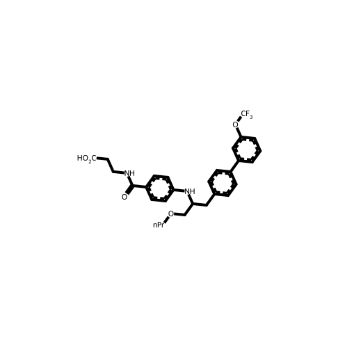 CCCOCC(Cc1ccc(-c2cccc(OC(F)(F)F)c2)cc1)Nc1ccc(C(=O)NCCC(=O)O)cc1